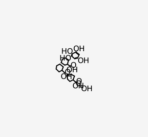 O=C(O)C1CCCCC1.O=C(O)C1CCCCC1.O=C(O)C1CCCCC1.O=CO.Oc1cc(O)c(O)c(O)c1